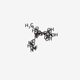 Cc1ccc(CCCC(=O)NCCCCCC(CNC(=O)CN2CCN(CC(=O)O)CCN(CC(=O)O)CCN(CC(=O)O)CC2)SC2CC(=O)N(CC(=O)N3CCN(CCCCOc4ccc5nccc(C(=O)NCC(=O)N6CC(F)(F)C[C@@H]6C#N)c5c4)CC3)C2=O)cc1